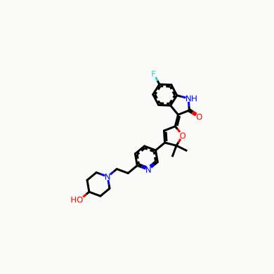 CC1(C)OC(=C2C(=O)Nc3cc(F)ccc32)C=C1c1ccc(CCN2CCC(O)CC2)nc1